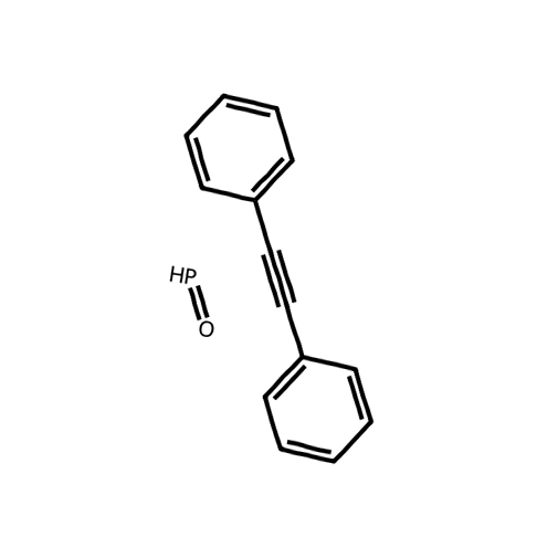 C(#Cc1ccccc1)c1ccccc1.O=P